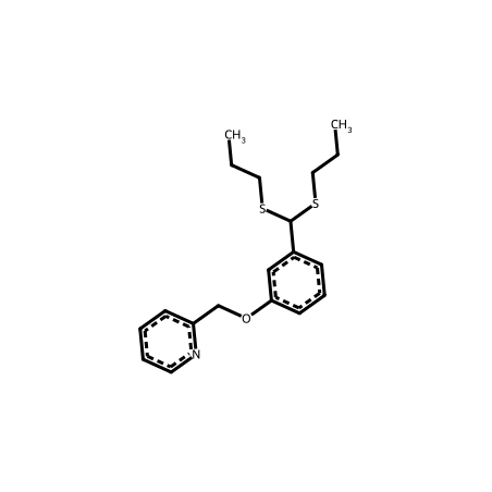 CCCSC(SCCC)c1cccc(OCc2ccccn2)c1